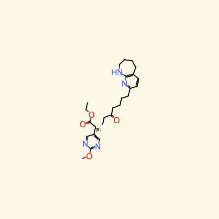 CCOC(=O)[C@H](CCC(=O)CCCCc1ccc2c(n1)NCCCC2)c1cnc(OC)nc1